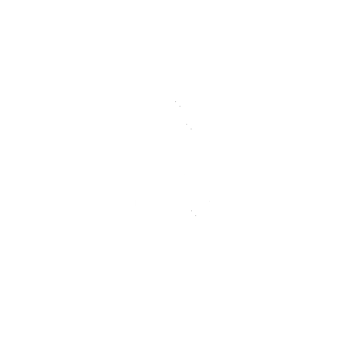 N#Cc1cccc(OCC2CC3(C(=O)N4CC(F)CC4c4cccc(F)c4)CC2C3)n1